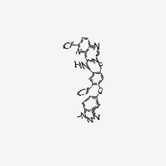 Cn1nnc2cc(Oc3cc(F)c(Nc4ncnc5ccc(Cl)nc45)cc3Cl)ccc21